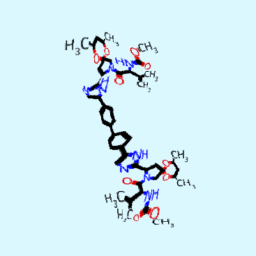 COC(=O)N[C@H](C(=O)N1CC2(CC1c1ncc(-c3ccc(-c4ccc(-c5cnc([C@@H]6CC7(CN6C(=O)[C@@H](NC(=O)OC)C(C)C)O[C@@H](C)C[C@H](C)O7)[nH]5)cc4)cc3)[nH]1)O[C@@H](C)C[C@H](C)O2)C(C)C